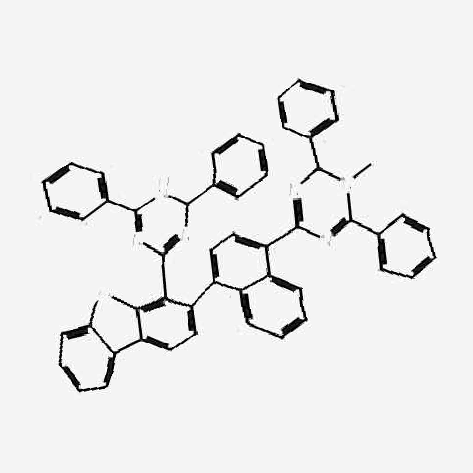 CN1C(c2ccccc2)=NC(c2ccc(-c3ccc4c(oc5ccccc54)c3C3=NC(c4ccccc4)NC(c4ccccc4)=N3)c3ccccc23)=NC1c1ccccc1